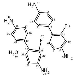 Nc1ccc(-c2ccc(N)cc2F)cc1.Nc1ccc(-c2ccc(N)cc2F)cc1.O